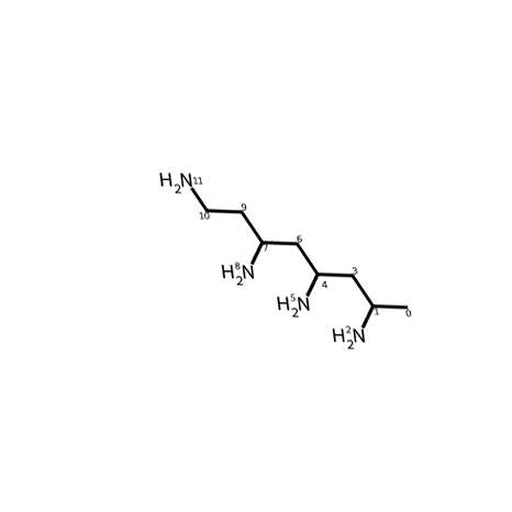 CC(N)CC(N)CC(N)CCN